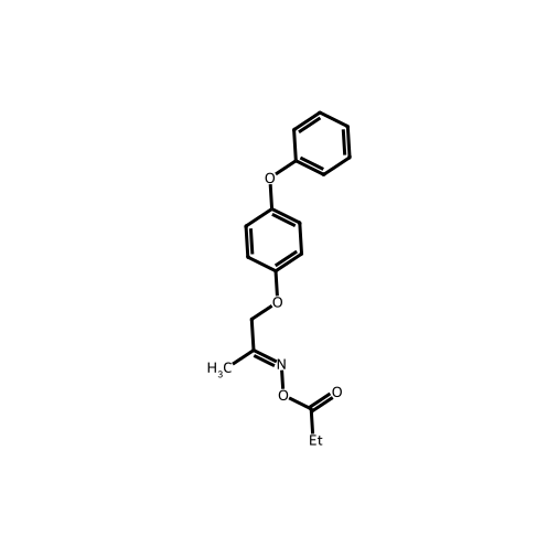 CCC(=O)ON=C(C)COc1ccc(Oc2ccccc2)cc1